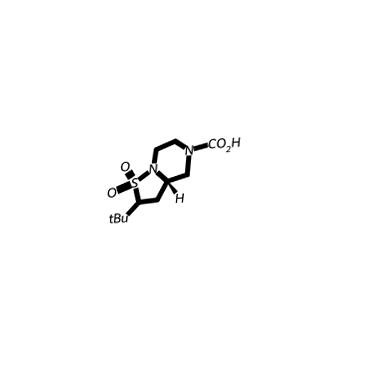 CC(C)(C)C1C[C@H]2CN(C(=O)O)CCN2S1(=O)=O